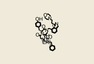 CN1CC(=O)N2[C@@H](Cc3ccc(O)cc3)C(=O)N(Cc3cccc4cnn(CCN5CCOCC5)c34)C[C@@H]2N1C(=O)NCc1ccccc1